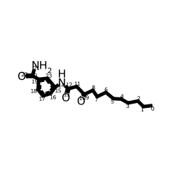 CCCCCCCCCC(=O)CC(=O)Nc1cccc(C(N)=O)c1